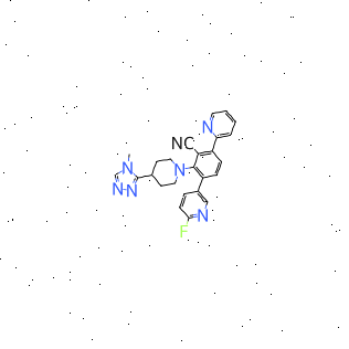 Cn1cnnc1C1CCN(c2c(-c3ccc(F)nc3)ccc(-c3ccccn3)c2C#N)CC1